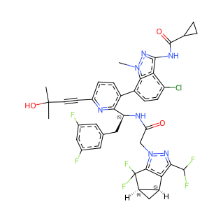 Cn1nc(NC(=O)C2CC2)c2c(Cl)ccc(-c3ccc(C#CC(C)(C)O)nc3[C@H](Cc3cc(F)cc(F)c3)NC(=O)Cn3nc(C(F)F)c4c3C(F)(F)[C@@H]3C[C@H]43)c21